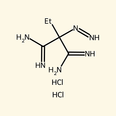 CCC(N=N)(C(=N)N)C(=N)N.Cl.Cl